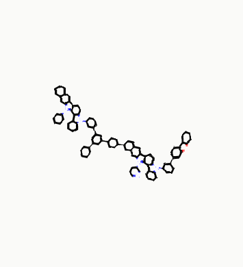 c1ccc(-c2cc(-c3ccc(-c4ccc5cc6c7ccc8c(c9ccccc9n8-c8cccc(-c9ccc%10c(c9)oc9ccccc9%10)c8)c7n(-c7cccnc7)c6cc5c4)cc3)cc(-c3cccc(-n4c5ccccc5c5c4ccc4c6cc7ccccc7cc6n(-c6ccccc6)c45)c3)c2)cc1